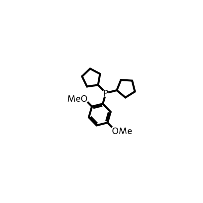 COc1ccc(OC)c(P(C2CCCC2)C2CCCC2)c1